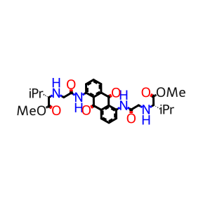 COC(=O)[C@@H](NCC(=O)Nc1cccc2c1C(=O)c1cccc(NC(=O)CN[C@H](C(=O)OC)C(C)C)c1C2=O)C(C)C